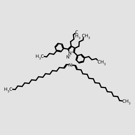 CCCCC1=C(c2cccc(CCCC)c2)[N+](=[N-])C(c2cccc(CCCC)c2)=C1CCCC.CCCCCCCCCCCCCCCC=[CH][Ni][CH]=CCCCCCCCCCCCCCCC